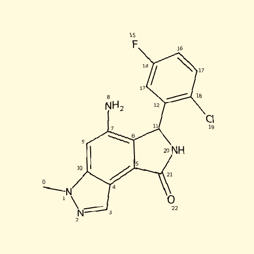 Cn1ncc2c3c(c(N)cc21)C(c1cc(F)ccc1Cl)NC3=O